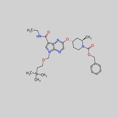 CCNC(=O)c1cn(COCC[Si](C)(C)C)c2ncc(O[C@H]3CCN(C(=O)OCc4ccccc4)[C@H](C)C3)nc12